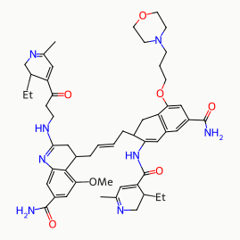 CCC1CN=C(C)C=C1C(=O)CCNC1=Nc2cc(C(N)=O)cc(OC)c2C(C/C=C/CC2Cc3c(cc(C(N)=O)cc3OCCCN3CCOCC3)C=C2NC(=O)C2=CC(C)=NCC2CC)C1